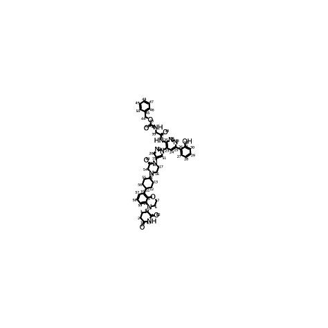 O=C1CC[C@H](N2CCOc3c(C4CCC(N5CCN(c6cnn(-c7cc(-c8ccccc8O)nnc7NC(=O)CNC(=O)OCc7ccccc7)c6)C(=O)C5)CC4)cccc32)C(=O)N1